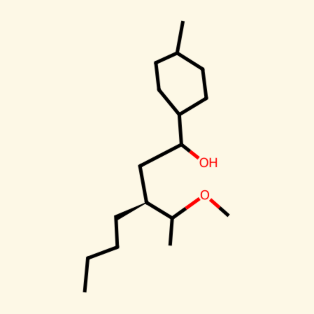 CCCC[C@@H](CC(O)C1CCC(C)CC1)C(C)OC